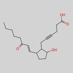 CCCCCC(=O)C=CC1CCC(O)C1CC#CCCC(=O)O